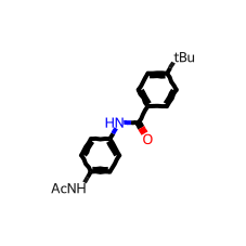 CC(=O)Nc1ccc(NC(=O)c2ccc(C(C)(C)C)cc2)cc1